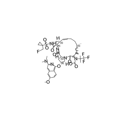 COc1ccc2c(O[C@@H]3C[C@H]4C(=O)N[C@]5(C(=O)NS(=O)(=O)C6(CF)CC6)C[C@H]5C=CCC[C@H](C)C[C@@H](C)[C@H](N(C(=O)O)C(C)(C)C(F)(F)F)C(=O)N4C3)nc(N(C)C)cc2c1